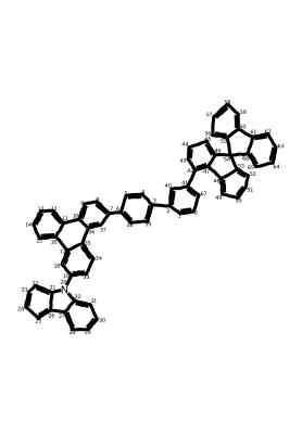 c1cc(-c2ccc(-c3ccc4c5ccccc5c5cc(-n6c7ccccc7c7ccccc76)ccc5c4c3)cc2)cc(-c2cccc3c2-c2ccccc2C32c3ccccc3-c3ccccc32)c1